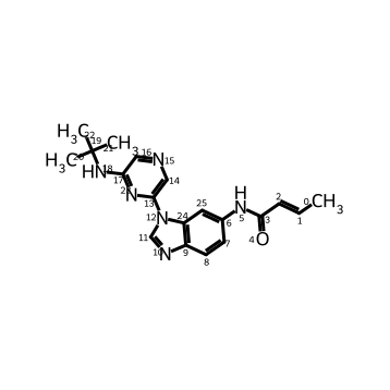 CC=CC(=O)Nc1ccc2ncn(-c3cncc(NC(C)(C)C)n3)c2c1